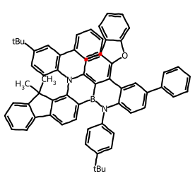 CC(C)(C)c1ccc(N2B3c4ccc5c(c4N(c4ccc(C(C)(C)C)cc4-c4ccccc4)c4cc6c(oc7ccccc76)c(c43)-c3cc(-c4ccccc4)ccc32)C(C)(C)c2ccccc2-5)cc1